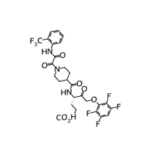 O=C(O)CC[C@H](NC(=O)C1CCN(C(=O)C(=O)Nc2ccccc2C(F)(F)F)CC1)C(=O)COc1c(F)c(F)cc(F)c1F